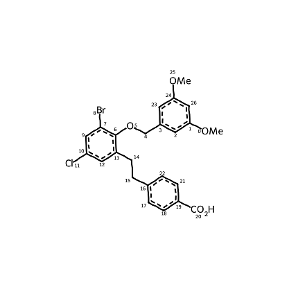 COc1cc(COc2c(Br)cc(Cl)cc2CCc2ccc(C(=O)O)cc2)cc(OC)c1